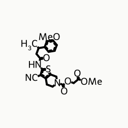 COC(=O)COC(=O)N1CCc2c(sc(NC(=O)CC(C)c3ccccc3OC)c2C#N)C1